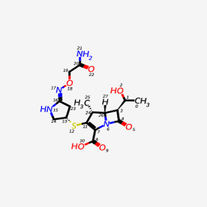 CC(O)[C@H]1C(=O)N2C(C(=O)O)=C(S[C@@H]3CNC(=NOCC(N)=O)C3)[C@H](C)[C@H]12